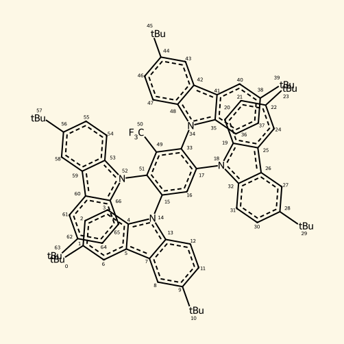 CC(C)(C)c1ccc2c(c1)c1cc(C(C)(C)C)ccc1n2-c1cc(-n2c3ccc(C(C)(C)C)cc3c3cc(C(C)(C)C)ccc32)c(-n2c3ccc(C(C)(C)C)cc3c3cc(C(C)(C)C)ccc32)c(C(F)(F)F)c1-n1c2ccc(C(C)(C)C)cc2c2cc(C(C)(C)C)ccc21